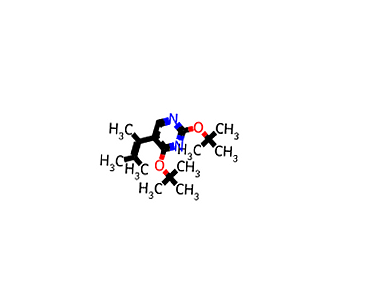 CC(C)=C(C)c1cnc(OC(C)(C)C)nc1OC(C)(C)C